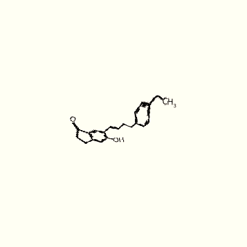 CCc1ccc(CC/C=C/c2cc3c(cc2O)CCC3=O)cc1